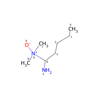 CCCCC(N)[N+](C)(C)[O-]